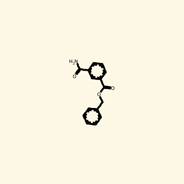 NC(=O)c1cccc(C(=O)OCc2ccccc2)c1